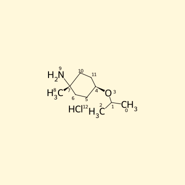 CC(C)O[C@H]1CC[C@](C)(N)CC1.Cl